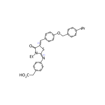 CCN1C(=O)/C(=C/c2ccc(OCc3ccc(C(C)C)cc3)cc2)S/C1=N/c1ccc(CC(=O)O)cc1